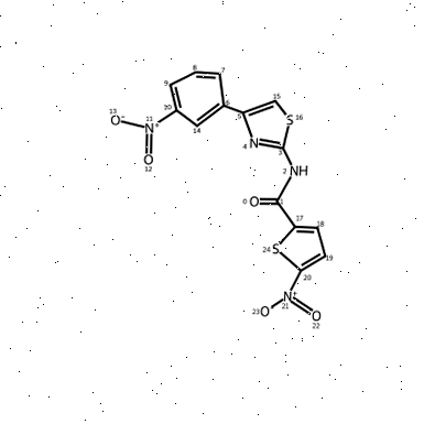 O=C(Nc1nc(-c2cccc([N+](=O)[O-])c2)cs1)c1ccc([N+](=O)[O-])s1